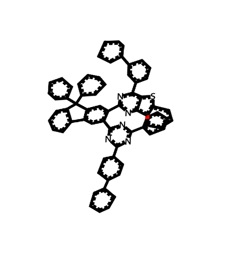 c1ccc(-c2ccc(-c3nc(-c4ccccc4)nc(-c4cc5c(cc4-c4nc(-c6cccc(-c7ccccc7)c6)c6sc7ccccc7c6n4)C(c4ccccc4)(c4ccccc4)c4ccccc4-5)n3)cc2)cc1